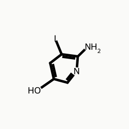 Nc1ncc(O)cc1I